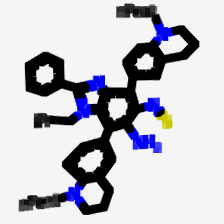 CCCCCN1CCCc2cc(-c3c(N=S)c(N)c(-c4ccc5c(c4)CCCN5CCCCC)c4c3nc(-c3ccccc3)n4CC(C)C)ccc21